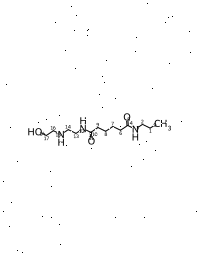 CCCNC(=O)CCCCC(=O)NCCNCCO